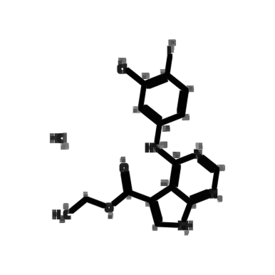 CCOC(=O)c1c[nH]c2ncnc(Nc3ccc(F)c(Cl)c3)c12.Cl